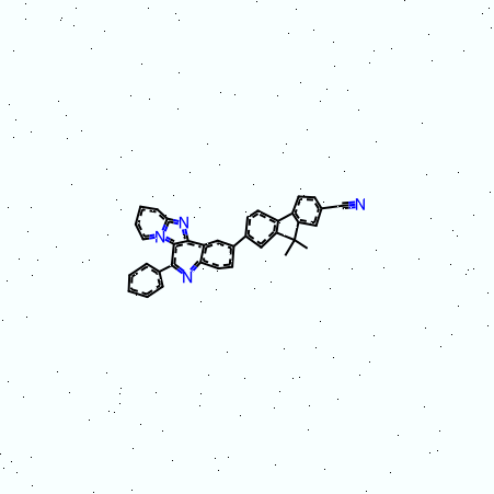 CC1(C)c2cc(C#N)ccc2-c2ccc(-c3ccc4nc(-c5ccccc5)c5c(nc6ccccn65)c4c3)cc21